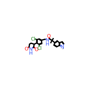 Cn1ccc2cc(C(C)(C)C(=O)NCc3cc(Cl)c(C4CCC(=O)NC4=O)c(Cl)c3)ccc21